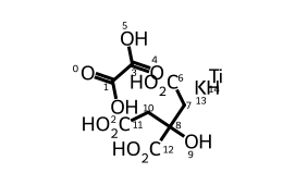 O=C(O)C(=O)O.O=C(O)CC(O)(CC(=O)O)C(=O)O.[KH].[Ti]